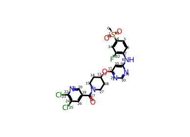 CS(=O)(=O)c1ccc(Nc2cc(OC3CCN(C(=O)c4cnc(Cl)c(Cl)c4)CC3)ncn2)c(F)c1